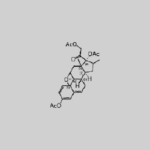 CC(=O)OCC(=O)[C@@]1(OC(C)=O)C(C)C[C@H]2[C@@H]3CC=C4C=C(OC(C)=O)C=C[C@]4(C)[C@]34OC4C[C@@]21C